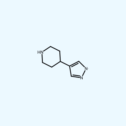 C1=N[N]C=C1C1CCNCC1